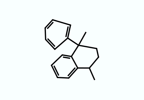 CC1CCC(C)(c2ccccc2)c2ccccc21